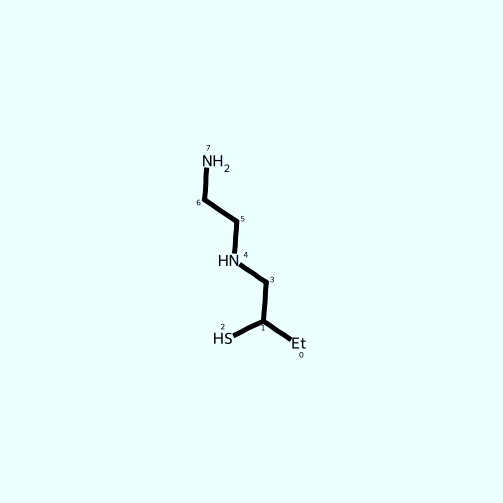 CCC(S)CNCCN